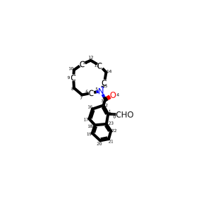 O=Cc1c(C(=O)N2CCCCCCCCCC2)ccc2ccccc12